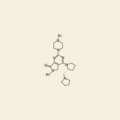 CC(=O)N1CCN(c2nc3c(c(N4CCC[C@@H]4CN4CCCC4)n2)CN(C(C)C)C3=O)CC1